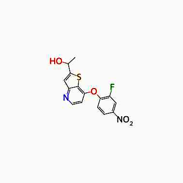 CC(O)c1cc2nccc(Oc3ccc([N+](=O)[O-])cc3F)c2s1